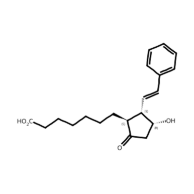 O=C(O)CCCCCC[C@@H]1C(=O)C[C@@H](O)[C@H]1C=Cc1ccccc1